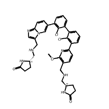 COc1nc(-c2cccc(-c3cccc(-c4ccc5ncc(CNC[C@@H]6CCC(=O)N6)n5c4)c3Cl)c2Cl)ccc1CNC[C@H]1CCC(=O)N1